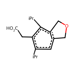 CC(C)c1cc2c(c(C(C)C)c1CC(=O)O)COC2